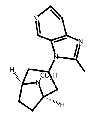 Cc1nc2ccncc2n1C1C[C@H]2CC[C@@H](C1)N2C(=O)O